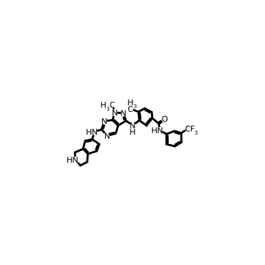 Cc1ccc(C(=O)Nc2cccc(C(F)(F)F)c2)cc1Nc1nn(C)c2nc(Nc3ccc4c(c3)CNCC4)ncc12